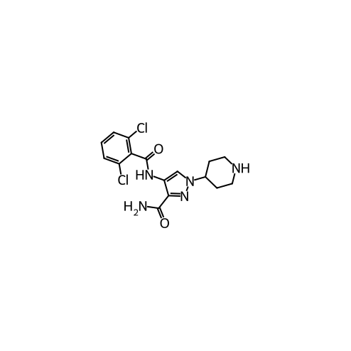 NC(=O)c1nn(C2CCNCC2)cc1NC(=O)c1c(Cl)cccc1Cl